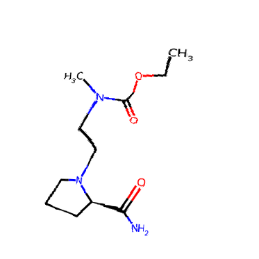 CCOC(=O)N(C)CCN1CCC[C@@H]1C(N)=O